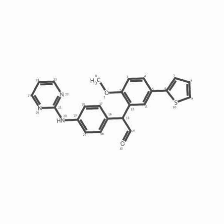 COc1ccc(-c2cccs2)cc1C(C=O)c1ccc(Nc2ncccn2)cc1